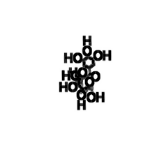 O=C(c1cc(O)c(O)c(O)c1)C1(O)O[C@H](CO)[C@@H](O)[C@H](O)[C@H]1O